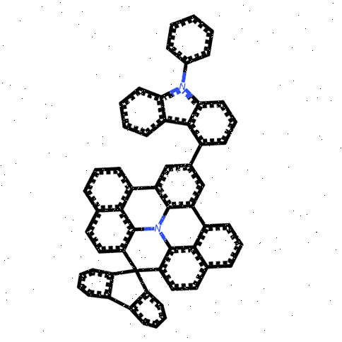 c1ccc(-n2c3ccccc3c3c(-c4cc5c6c(c4)-c4cccc7ccc8c(c47)N6c4c(ccc6cccc-5c46)C84c5ccccc5-c5ccccc54)cccc32)cc1